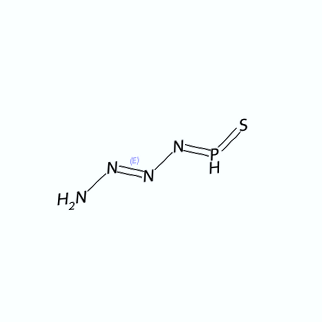 N/N=N/N=[PH]=S